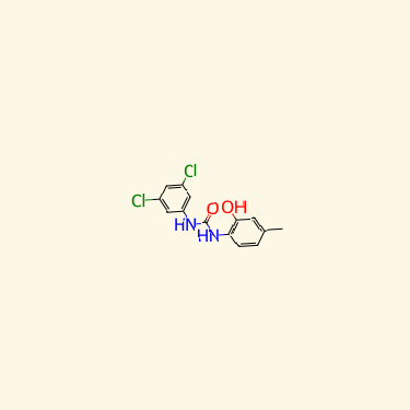 Cc1ccc(NC(=O)Nc2cc(Cl)cc(Cl)c2)c(O)c1